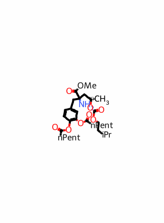 CCCCCC(=O)Oc1ccc(CC(N)(C[C@H](C)OC(=O)OCCC(C)C)C(=O)OC)cc1OC(=O)CCCCC